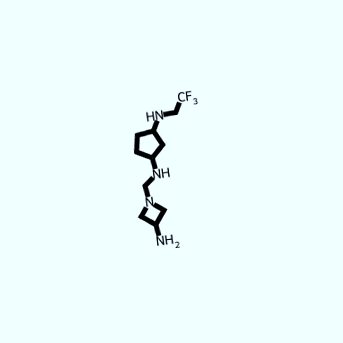 NC1CN(CNC2CCC(NCC(F)(F)F)C2)C1